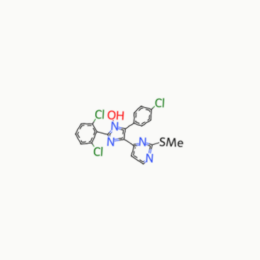 CSc1nccc(-c2nc(-c3c(Cl)cccc3Cl)n(O)c2-c2ccc(Cl)cc2)n1